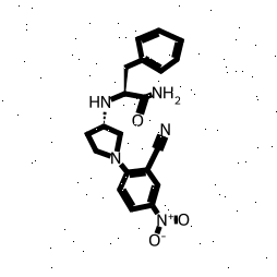 N#Cc1cc([N+](=O)[O-])ccc1N1CC[C@H](N[C@@H](Cc2ccccc2)C(N)=O)C1